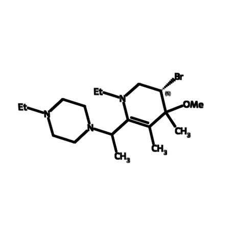 CCN1CCN(C(C)C2=C(C)C(C)(OC)[C@@H](Br)CN2CC)CC1